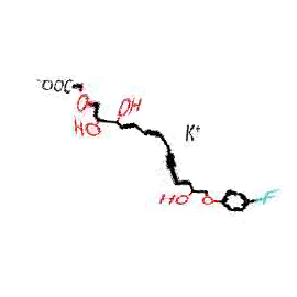 O=C([O-])COC[C@@H](O)[C@@H](O)/C=C/C=C/C#C/C=C/[C@H](O)COc1ccc(F)cc1.[K+]